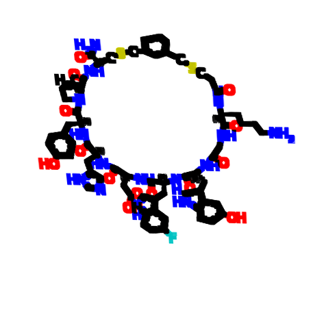 C[C@@]12CCCN1C(=O)[C@H](Cc1ccc(O)cc1)NC(=O)[C@H](Cc1cnc[nH]1)NC(=O)[C@H](CC(=O)O)NC(=O)[C@H](Cc1c[nH]c3ccc(F)cc13)NC(=O)[C@@H](Cc1c[nH]c3ccc(O)cc13)NC(=O)CNC(=O)[C@H](CCCCN)NC(=O)CCSCc1cccc(c1)CSC[C@@H](C(N)=O)NC2=O